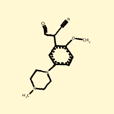 COc1ccc(N2CCN(C)CC2)cc1C(C#N)C=O